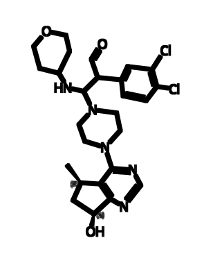 C[C@@H]1C[C@H](O)c2ncnc(N3CCN(C(NC4CCOCC4)C(C=O)c4ccc(Cl)c(Cl)c4)CC3)c21